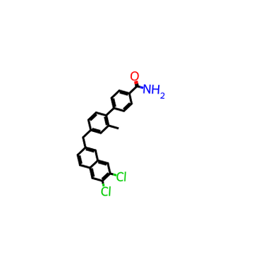 Cc1cc(Cc2ccc3cc(Cl)c(Cl)cc3c2)ccc1-c1ccc(C(N)=O)cc1